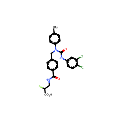 CC(C)(C)c1ccc(N(Cc2ccc(C(=O)NCC(F)C(=O)O)cc2)C(=O)Nc2ccc(Cl)c(Cl)c2)cc1